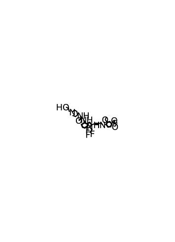 COc1cc(S(C)(=O)=O)ccc1NCC#Cc1cc2c(NC(=O)NC3CCN(CCO)CC3)cccc2n1CC(F)(F)F